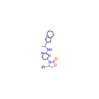 CC(Nc1nccc(N2C(=O)OCC2C(C)C)n1)c1cc2ccccn2c1